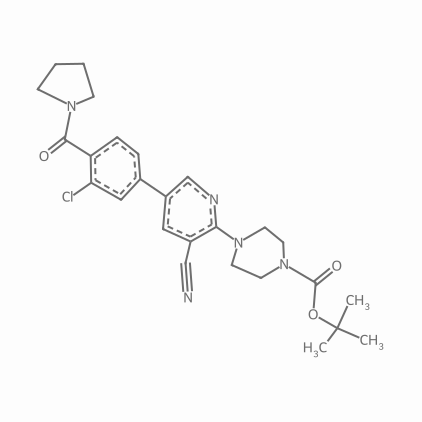 CC(C)(C)OC(=O)N1CCN(c2ncc(-c3ccc(C(=O)N4CCCC4)c(Cl)c3)cc2C#N)CC1